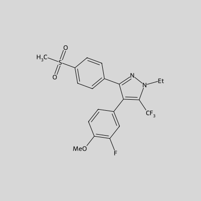 CCn1nc(-c2ccc(S(C)(=O)=O)cc2)c(-c2ccc(OC)c(F)c2)c1C(F)(F)F